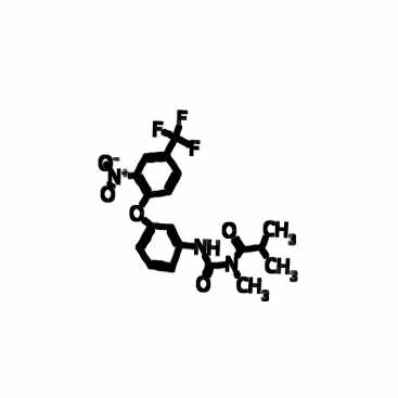 CC(C)C(=O)N(C)C(=O)Nc1cccc(Oc2ccc(C(F)(F)F)cc2[N+](=O)[O-])c1